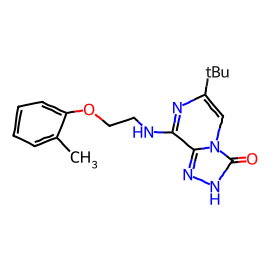 Cc1ccccc1OCCNc1nc(C(C)(C)C)cn2c(=O)[nH]nc12